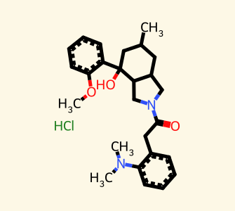 COc1ccccc1C1(O)CC(C)CC2CN(C(=O)Cc3ccccc3N(C)C)CC21.Cl